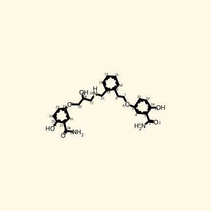 NC(=O)c1cc(OCCc2ccccc2CNCC(O)COc2ccc(O)c(C(N)=O)c2)ccc1O